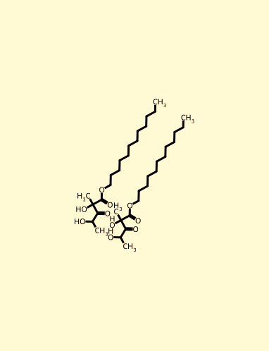 CCCCCCCCCCCCOC(=O)C(C)(O)C(=O)C(C)O.CCCCCCCCCCCCOC(=O)C(C)(O)C(=O)C(C)O